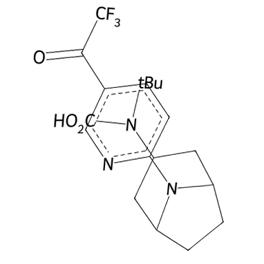 CC(C)(C)N(C(=O)O)C1CC2CCC(C1)N2c1ccc(C(=O)C(F)(F)F)cn1